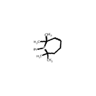 CC(C)P1C(C)(C)CCCCC1(C)C